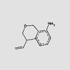 C=CC1COCc2c(N)cccc21